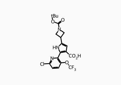 CC(C)(C)OC(=O)N1CC(c2cc(C(=O)O)c(-c3nc(Cl)ccc3OC(F)(F)F)[nH]2)C1